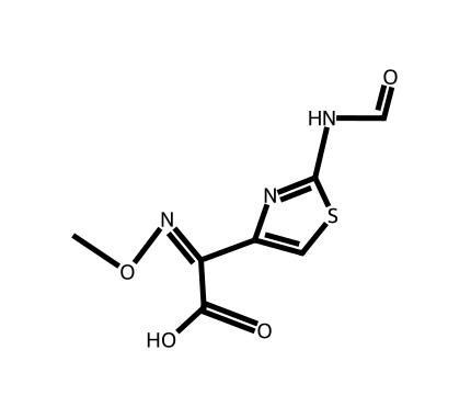 CO/N=C(\C(=O)O)c1csc(NC=O)n1